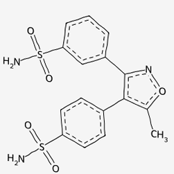 Cc1onc(-c2cccc(S(N)(=O)=O)c2)c1-c1ccc(S(N)(=O)=O)cc1